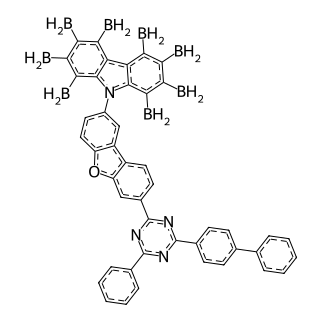 Bc1c(B)c(B)c2c(c1B)c1c(B)c(B)c(B)c(B)c1n2-c1ccc2oc3cc(-c4nc(-c5ccccc5)nc(-c5ccc(-c6ccccc6)cc5)n4)ccc3c2c1